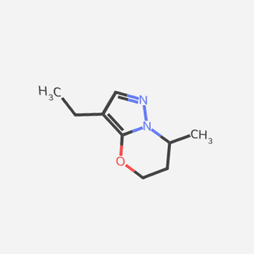 CCc1cnn2c1OCCC2C